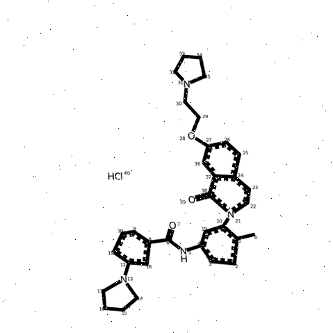 Cc1ccc(NC(=O)c2cccc(N3CCCC3)c2)cc1-n1ccc2ccc(OCCN3CCCC3)cc2c1=O.Cl